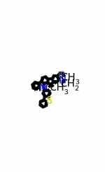 C=Nc1cc2c(cc1/C=C\C)-c1ccc3c4ccccc4n(-c4ccc5sc6ccccc6c5c4)c3c1C2(C)C